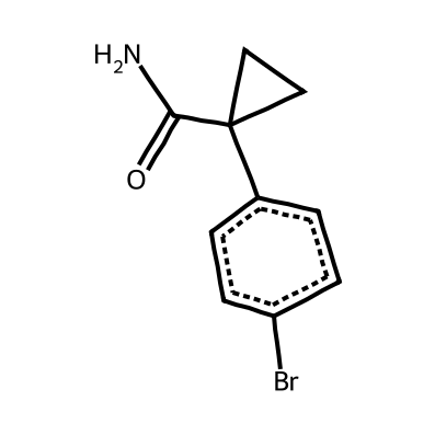 NC(=O)C1(c2ccc(Br)cc2)CC1